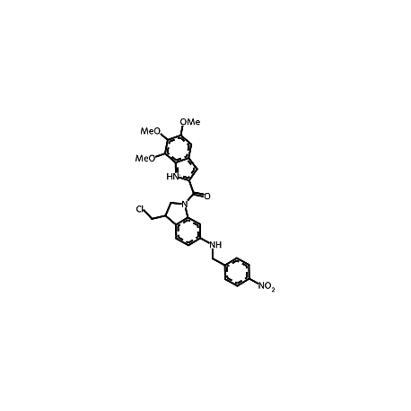 COc1cc2cc(C(=O)N3CC(CCl)c4ccc(NCc5ccc([N+](=O)[O-])cc5)cc43)[nH]c2c(OC)c1OC